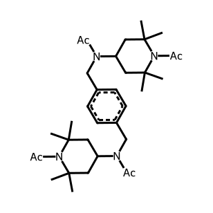 CC(=O)N(Cc1ccc(CN(C(C)=O)C2CC(C)(C)N(C(C)=O)C(C)(C)C2)cc1)C1CC(C)(C)N(C(C)=O)C(C)(C)C1